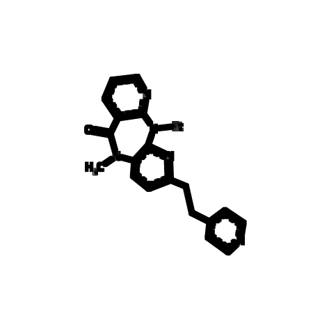 CCN1c2ncccc2C(=O)N(C)c2ccc(CCc3ccncc3)nc21